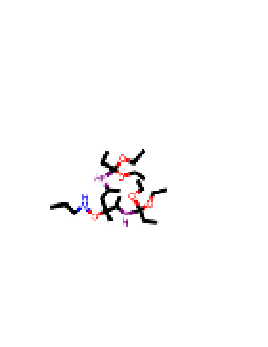 CCCNOC(C)(CC(C)PC(CC)(OCC)OCC)C(C)PC(CC)(OCC)OCC